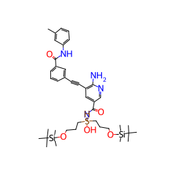 Cc1cccc(NC(=O)c2cccc(C#Cc3cc(C(=O)N=[SH](O)(CCCO[Si](C)(C)C(C)(C)C)CCCO[Si](C)(C)C(C)(C)C)cnc3N)c2)c1